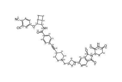 N#Cc1ccc(OC2C3CCC3C2NC(=O)c2ccc(C#CC3CCN(CC4CN(c5ccc6c(c5)C(=O)N(C5CCC(=O)NC5=O)C6=O)C4)CC3)cc2)cc1Cl